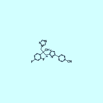 C[C@@H](c1nc(-c2ccc(C#N)cc2)cs1)C(O)(Cn1cncn1)c1ccc(F)cc1F